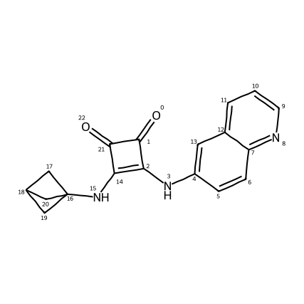 O=c1c(Nc2ccc3ncccc3c2)c(NC23CC(C2)C3)c1=O